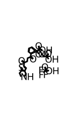 O=C(O)C(F)(F)F.O=C(O)COOC1(C(=O)O)c2cccc(C(=O)CCC(=O)c3cc4c(s3)CCNC4)c21